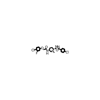 CN1C[C@H](NC(=O)COc2ccc(Cl)c(F)c2)CC[C@H]1c1nnc(-c2ccc(Cl)cc2)o1